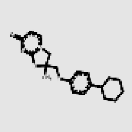 CC1(COc2ccc(C3CCCCC3)cc2)Cn2ccc(=O)nc2O1